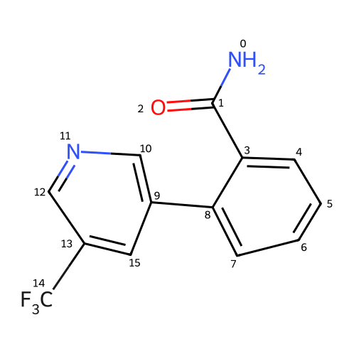 NC(=O)c1ccccc1-c1cncc(C(F)(F)F)c1